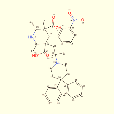 CC1N[C@H](C)C(C)(C(=O)O)C(c2cccc([N+](=O)[O-])c2)C1(CC(C)(C)N1CCC(c2ccccc2)(c2ccccc2)CC1)C(=O)O